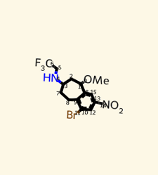 COC1CC(NCC(F)(F)F)CCc2c(Br)cc([N+](=O)[O-])cc21